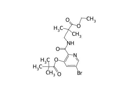 CCOC(=O)C(C)(C)CNC(=O)c1ncc(Br)cc1OC(=O)C(C)(C)C